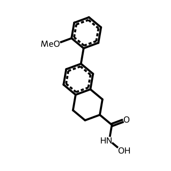 COc1ccccc1-c1ccc2c(c1)CC(C(=O)NO)CC2